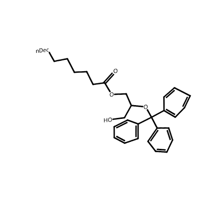 CCCCCCCCCCCCCCCC(=O)OCC(CO)OC(c1ccccc1)(c1ccccc1)c1ccccc1